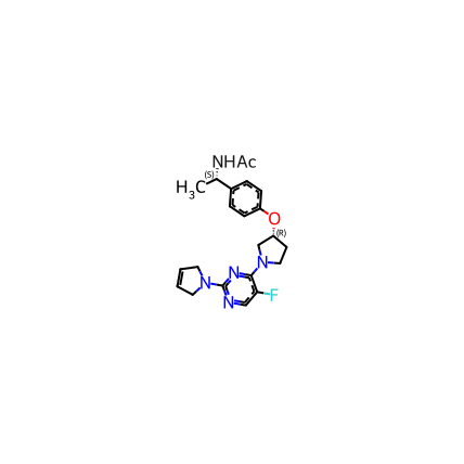 CC(=O)N[C@@H](C)c1ccc(O[C@@H]2CCN(c3nc(N4CC=CC4)ncc3F)C2)cc1